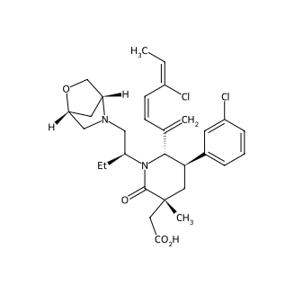 C=C(/C=C\C(Cl)=C/C)[C@@H]1[C@@H](c2cccc(Cl)c2)C[C@](C)(CC(=O)O)C(=O)N1[C@@H](CC)CN1C[C@H]2C[C@@H]1CO2